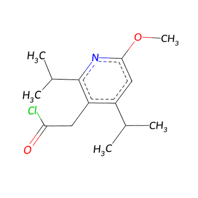 COc1cc(C(C)C)c(CC(=O)Cl)c(C(C)C)n1